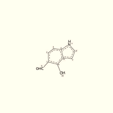 O=Cc1ccc2[nH]ccc2c1O